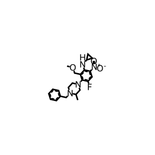 COCc1c(NC2CC2)c([N+](=O)[O-])cc(F)c1N1CCN(Cc2ccccc2)C(C)C1